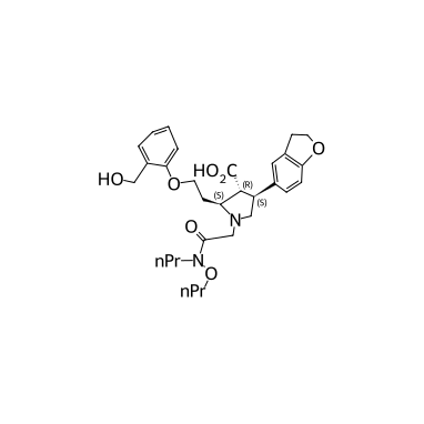 CCCON(CCC)C(=O)CN1C[C@H](c2ccc3c(c2)CCO3)[C@@H](C(=O)O)[C@@H]1CCOc1ccccc1CO